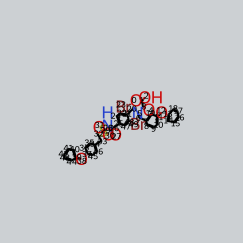 O=C(O)C(=O)N(Cc1cccc(Oc2ccccc2)c1)Cc1c(Br)cc(C(=O)NS(=O)(=O)CCc2ccc(Oc3ccccc3)cc2)cc1Br